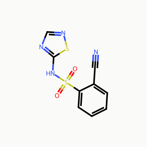 N#Cc1ccccc1S(=O)(=O)Nc1ncns1